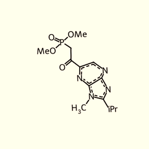 COP(=O)(CC(=O)c1cnc2nc(C(C)C)n(C)c2n1)OC